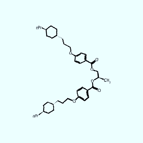 CCC[C@H]1CC[C@H](CCCOc2ccc(C(=O)OC[C@@H](C)OC(=O)c3ccc(OCCC[C@H]4CC[C@H](CCC)CC4)cc3)cc2)CC1